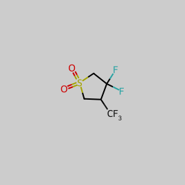 O=S1(=O)CC(C(F)(F)F)C(F)(F)C1